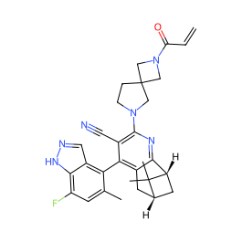 C=CC(=O)N1CC2(CCN(c3nc4c(c(-c5c(C)cc(F)c6[nH]ncc56)c3C#N)C[C@H]3C[C@@H]4C3(C)C)C2)C1